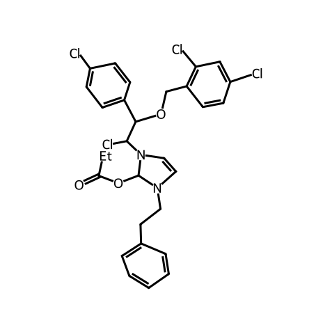 CCC(=O)OC1N(CCc2ccccc2)C=CN1C(Cl)C(OCc1ccc(Cl)cc1Cl)c1ccc(Cl)cc1